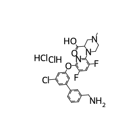 CN1CCN(c2nc(Oc3cc(Cl)cc(-c4cccc(CN)c4)c3)c(F)cc2F)C(C(=O)O)C1.Cl.Cl